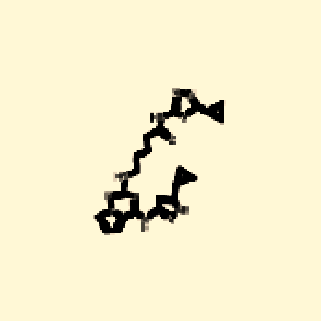 O=C(CCCCNc1nc(Nc2cc(C3CC3)[nH]n2)c2cccn2n1)Nc1nnc(C2CC2)s1